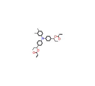 C=CC(=O)OC(CC)c1ccc(N(c2ccc(C(CC)OC(=O)C=C)cc2)c2ccc(C)c(C)c2)cc1